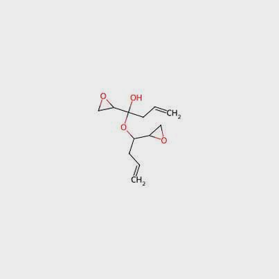 C=CCC(OC(O)(CC=C)C1CO1)C1CO1